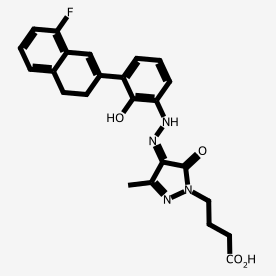 CC1=NN(CCCC(=O)O)C(=O)/C1=N\Nc1cccc(C2=Cc3c(F)cccc3CC2)c1O